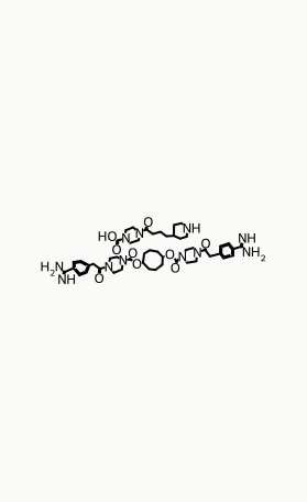 N=C(N)c1ccc(CC(=O)N2CCN(C(=O)O[C@H]3CCC[C@@H](OC(=O)N4CCN(C(=O)Cc5ccc(C(=N)N)cc5)CC4)CCC3)CC2)cc1.O=C(O)N1CCN(C(=O)CCCC2CCNCC2)CC1